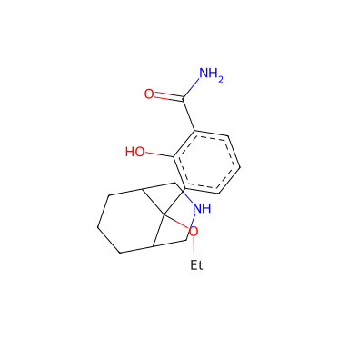 CCOC1(c2cccc(C(N)=O)c2O)C2CCCC1CNC2